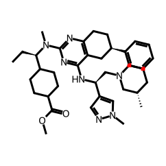 CC[C@H](C1CCC(C(=O)OC)CC1)N(C)c1nc2c(c(N[C@@H](CN3CCC[C@H](C)C3)c3cnn(C)c3)n1)C[C@H](c1ccccc1)CC2